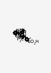 C[C@@H]1C[C@@H](n2ncc(C(=O)N(CC(=O)c3c(Cl)cccc3Cl)C3C[C@@H]4[C@H](C3)C4(C)C)c2C(F)(F)F)CC[C@@H]1C(=O)O